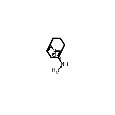 CNC1=C2CCCC(=CC1)N2C